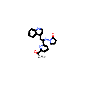 COC(=O)c1cccc(C(Cc2ccnc3ccccc23)=NN2CCCC2=O)n1